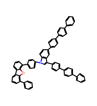 c1ccc(-c2ccc(-c3ccc(-c4ccc5c(c4)c(-c4ccc(-c6ccc(-c7ccccc7)cc6)cc4)cn5-c4ccc(-c5cccc6c5oc5c(-c7ccccc7)cccc56)cc4)cc3)cc2)cc1